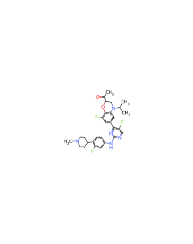 CC(=O)C1CN(C(C)C)c2cc(-c3nc(Nc4ccc(C5CCN(C)CC5)c(F)c4)ncc3F)cc(F)c2O1